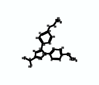 COc1ccc(-n2nc(C(F)F)cc2-c2ccc(CCN)cc2)cn1